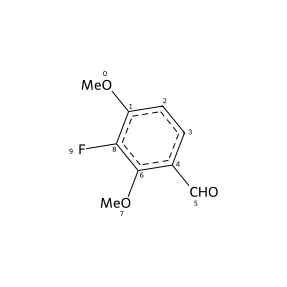 COc1ccc(C=O)c(OC)c1F